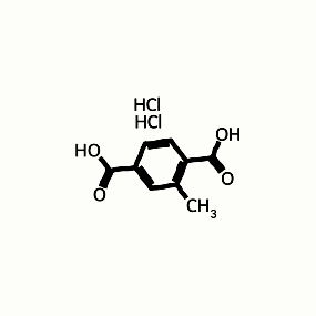 Cc1cc(C(=O)O)ccc1C(=O)O.Cl.Cl